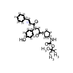 CC(C)(C)OC(=O)N[C@H]1CCN(C(=O)CN(C(=O)/C=C/c2ccccc2)c2ccc(O)cc2)C1